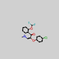 CN(C)/C=C(/Oc1ccc(Cl)cc1)C(=O)c1ccccc1OC(F)F